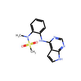 CN(c1ccccc1Nc1ncnc2[nH]ccc12)S(C)(=O)=O